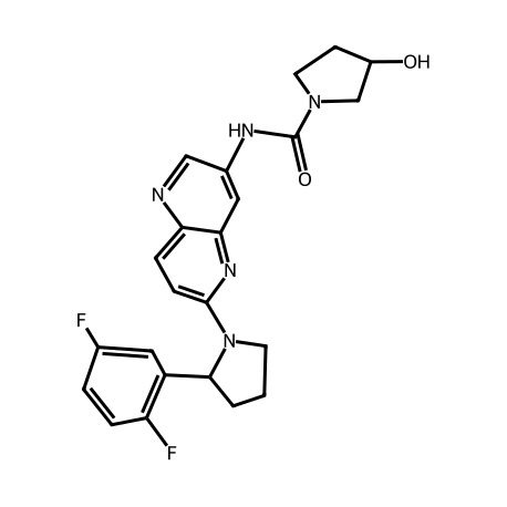 O=C(Nc1cnc2ccc(N3CCCC3c3cc(F)ccc3F)nc2c1)N1CCC(O)C1